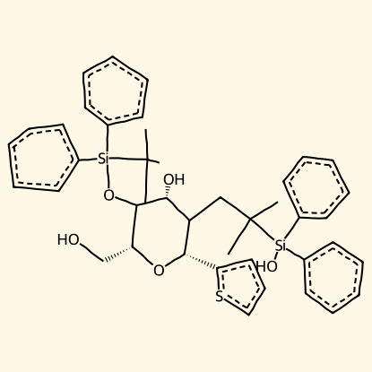 CC(C)(CC1[C@@H](O)C(O[Si](c2ccccc2)(c2ccccc2)C(C)(C)C)[C@@H](CO)O[C@H]1c1cccs1)[Si](O)(c1ccccc1)c1ccccc1